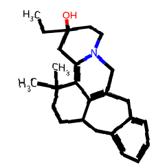 CCC1(O)CCN2CC3=C4C(=C2C1)C(C)(C)CCC4Cc1ccccc1C3